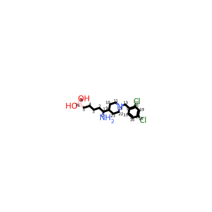 NC(CCCCB(O)O)C1CCN(Cc2ccc(Cl)cc2Cl)CC1